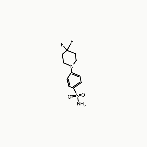 NS(=O)(=O)c1ccc(N2CCC(F)(F)CC2)cc1